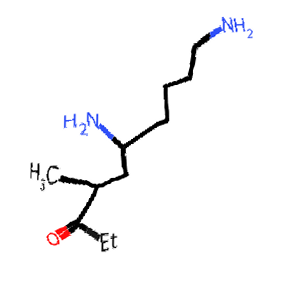 CCC(=O)C(C)CC(N)CCCCN